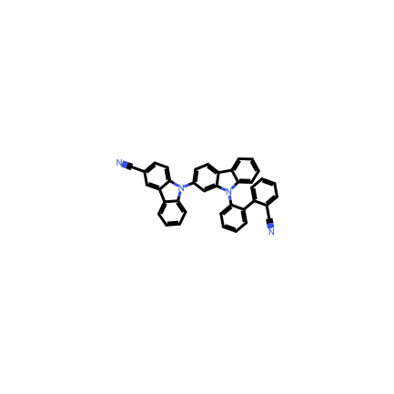 N#Cc1ccc2c(c1)c1ccccc1n2-c1ccc2c3ccccc3n(-c3ccccc3-c3ccccc3C#N)c2c1